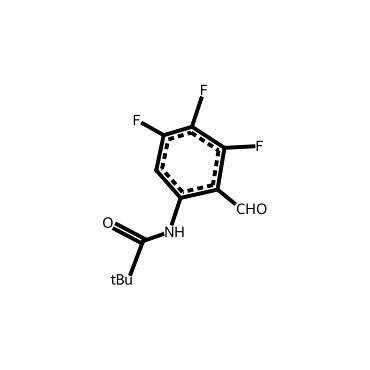 CC(C)(C)C(=O)Nc1cc(F)c(F)c(F)c1C=O